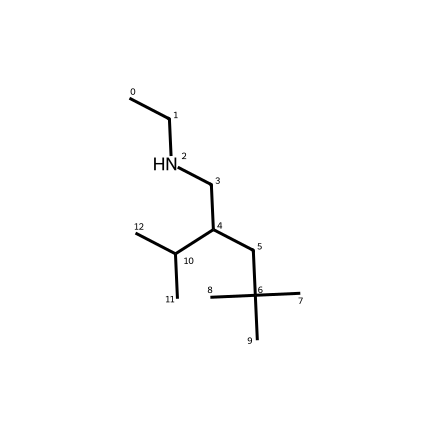 CCNCC(CC(C)(C)C)C(C)C